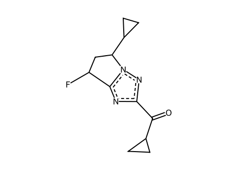 O=C(c1nc2n(n1)C(C1CC1)CC2F)C1CC1